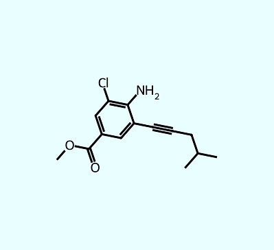 COC(=O)c1cc(Cl)c(N)c(C#CCC(C)C)c1